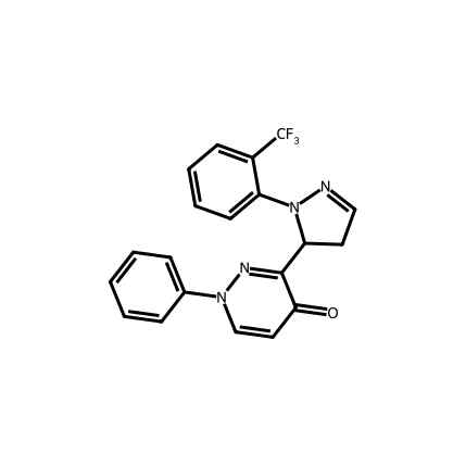 O=c1ccn(-c2ccccc2)nc1C1CC=NN1c1ccccc1C(F)(F)F